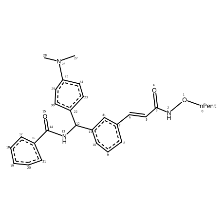 CCCCCONC(=O)/C=C/c1cccc(C(NC(=O)c2ccccc2)c2ccc(N(C)C)cc2)c1